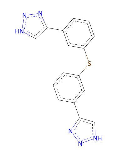 c1cc(Sc2cccc(-c3c[nH]nn3)c2)cc(-c2c[nH]nn2)c1